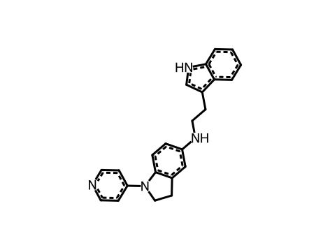 c1ccc2c(CCNc3ccc4c(c3)CCN4c3ccncc3)c[nH]c2c1